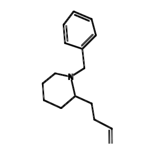 C=CCCC1CCCCN1Cc1ccccc1